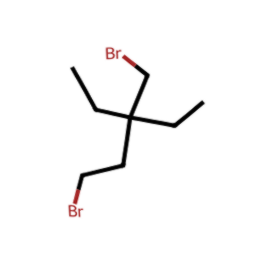 CCC(CC)(CBr)CCBr